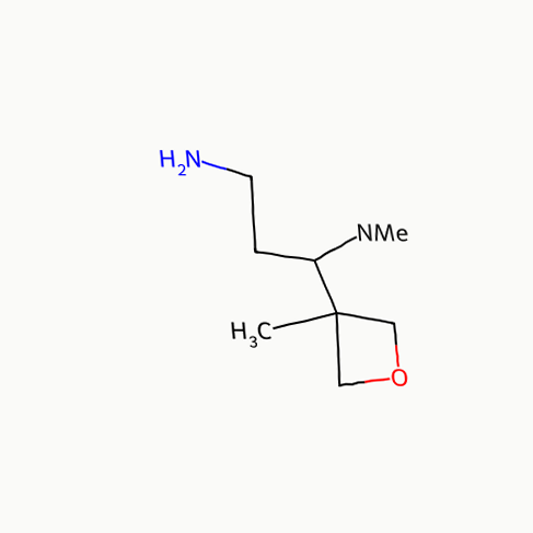 CNC(CCN)C1(C)COC1